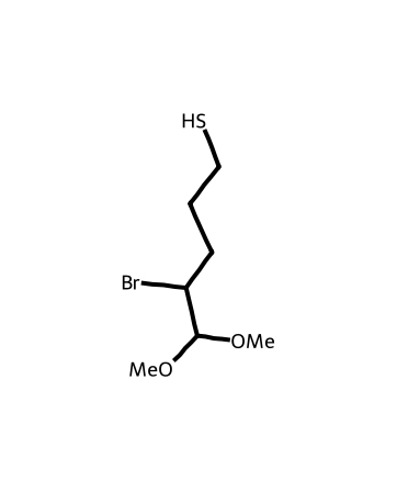 COC(OC)C(Br)CCCS